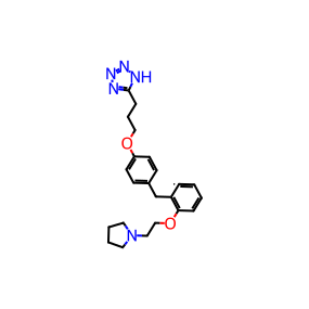 [c]1cccc(OCCN2CCCC2)c1Cc1ccc(OCCCc2nnn[nH]2)cc1